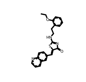 CCOc1ccccc1CCNC1=NC(=O)/C(=C/c2ccc3ncccc3c2)S1